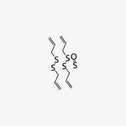 C=CCSSCC=C.C=CCSSCC=C.O=S